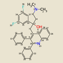 CN(C)CCC(O)(Cc1c(-c2ccccc2)c(-c2ccccc2)nc2ccccc12)c1cc(F)cc(F)c1